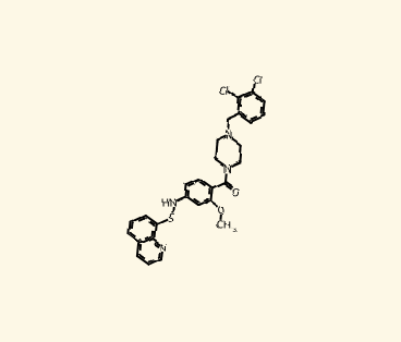 COc1cc(NSc2cccc3cccnc23)ccc1C(=O)N1CCN(Cc2cccc(Cl)c2Cl)CC1